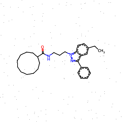 CCc1ccc2c(c1)c(-c1ccccc1)nn2CCCNC(=O)C1CCCCCCCCCC1